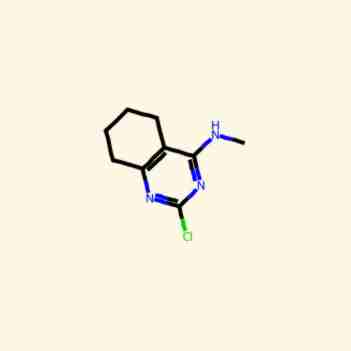 CNc1nc(Cl)nc2c1CCCC2